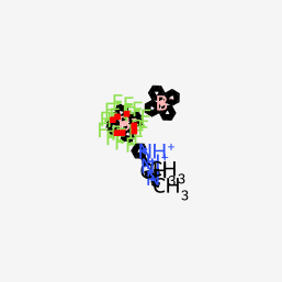 CC[NH+](CC)CC.Fc1c(F)c(F)c([B-](c2c(F)c(F)c(F)c(F)c2F)(c2c(F)c(F)c(F)c(F)c2F)c2c(F)c(F)c(F)c(F)c2F)c(F)c1F.N#Cc1cccc[nH+]1.c1ccc([B-](c2ccccc2)(c2ccccc2)c2ccccc2)cc1